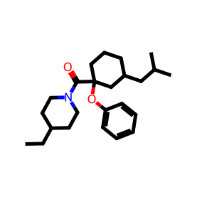 CCC1CCN(C(=O)C2(Oc3ccccc3)CCCC(CC(C)C)C2)CC1